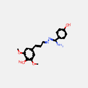 COc1cc(/C=C/C=NN=C(N)c2ccc(O)cc2)cc(OC)c1O